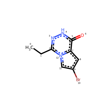 CCc1n[nH]c(=O)c2cc(Br)cn12